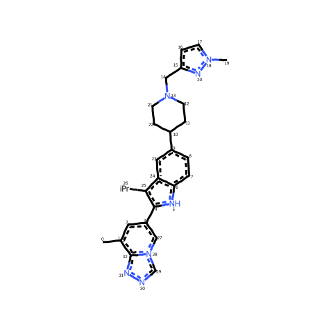 Cc1cc(-c2[nH]c3ccc(C4CCN(Cc5ccn(C)n5)CC4)cc3c2C(C)C)cn2cnnc12